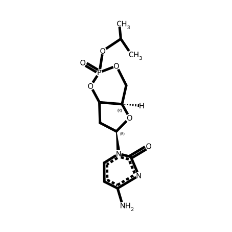 CC(C)OP1(=O)OC[C@H]2O[C@@H](n3ccc(N)nc3=O)CC2O1